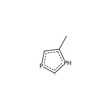 Cc1cp[c][pH]1